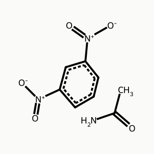 CC(N)=O.O=[N+]([O-])c1cccc([N+](=O)[O-])c1